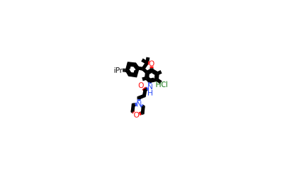 Cc1c(C)c2c(c(C)c1NC(=O)CCN1CCOCC1)C(c1ccc(C(C)C)cc1)C(C)(C)O2.Cl